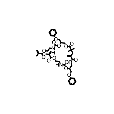 C=C(C)C(=O)OCCNC(=O)OC(COC(=O)C(C)(C)CC(=C)C(=O)OCC(COc1ccccc1)OC(O)NCCOC(=O)C(=C)C)COc1ccccc1